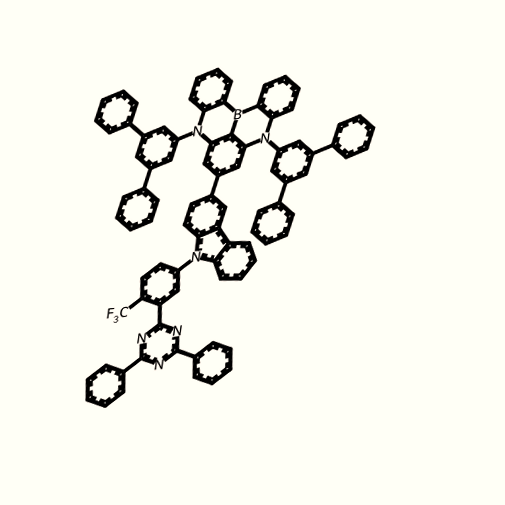 FC(F)(F)c1ccc(-n2c3ccccc3c3cc(-c4cc5c6c(c4)N(c4cc(-c7ccccc7)cc(-c7ccccc7)c4)c4ccccc4B6c4ccccc4N5c4cc(-c5ccccc5)cc(-c5ccccc5)c4)ccc32)cc1-c1nc(-c2ccccc2)nc(-c2ccccc2)n1